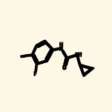 Cc1ccc(NC(=O)NC2CC2)cc1F